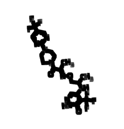 C/C(=N\OCC(C)Nc1cn[nH]c(=O)c1C(F)(F)F)C(=O)N1CCN(c2ncc(C(F)(F)F)cn2)CC1